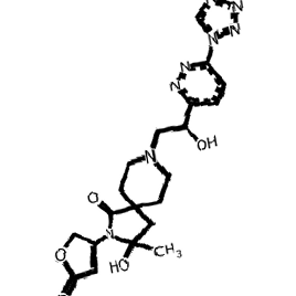 CC1(O)CC2(CCN(C[C@H](O)c3ccc(-n4cnnn4)nn3)CC2)C(=O)N1C1=CC(=O)OC1